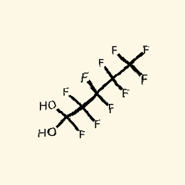 OC(O)(F)C(F)(F)C(F)(F)C(F)(F)C(F)(F)F